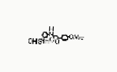 COc1ccc(C(=O)CC(=O)Nc2cccc(NC=O)c2)cc1